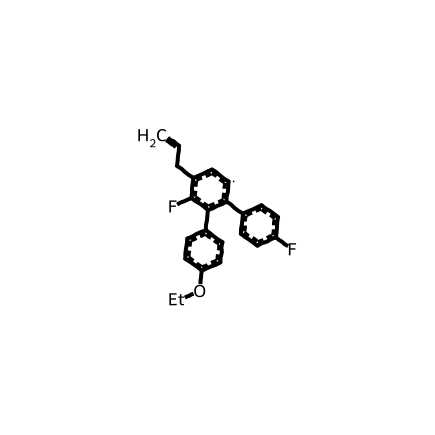 C=CCc1c[c]c(-c2ccc(F)cc2)c(-c2ccc(OCC)cc2)c1F